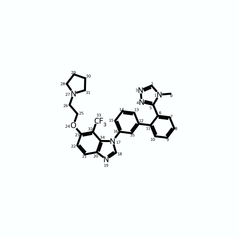 Cn1cnnc1-c1ccccc1-c1cccc(-n2cnc3ccc(OCCN4CCCC4)c(C(F)(F)F)c32)c1